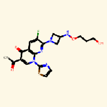 O=NC(=O)c1cn(-c2nccs2)c2nc(N3CC(NOCCCO)C3)c(F)cc2c1=O